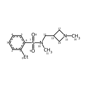 CCc1ccccc1S(=O)(=O)N(C)CC1CN(C)C1